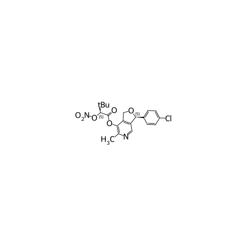 Cc1ncc2c(c1OC(=O)[C@@H](O[N+](=O)[O-])C(C)(C)C)CO[C@H]2c1ccc(Cl)cc1